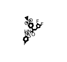 O=C(Nc1nc2ccc(F)cc2s1)/C(=C/C1CC(F)C(F)C1)c1ccc(S(=O)(=O)C2CC2)cc1